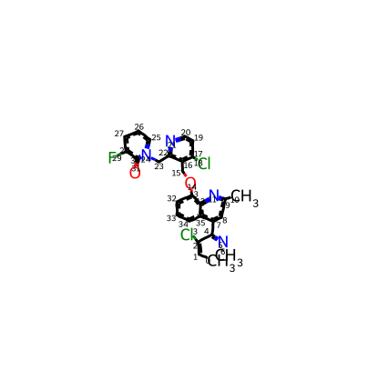 C/C=C(Cl)\C(=N/C)c1cc(C)nc2c(OCc3c(Cl)ccnc3Cn3cccc(F)c3=O)cccc12